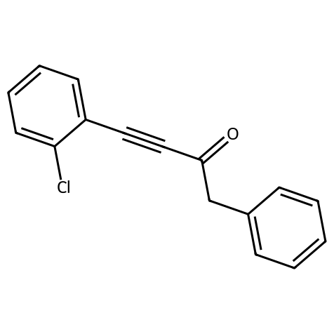 O=C(C#Cc1ccccc1Cl)Cc1ccccc1